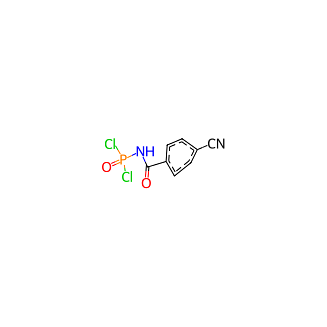 N#Cc1ccc(C(=O)NP(=O)(Cl)Cl)cc1